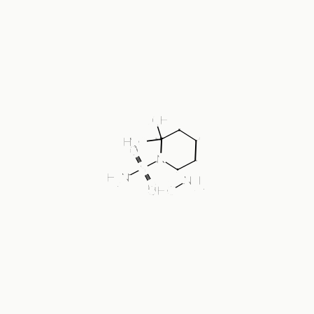 CC1(C)CCCCN1S(N)(=O)=O.NC=O